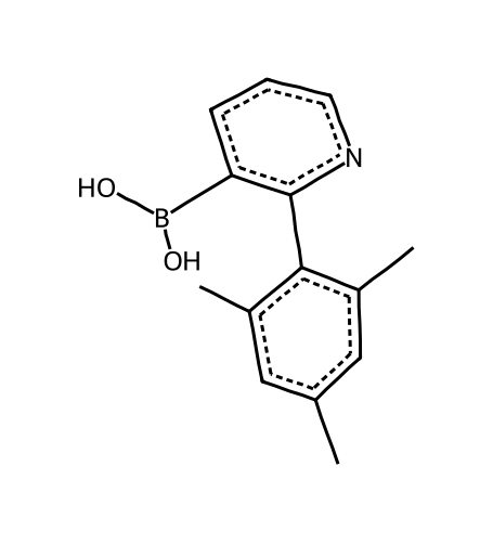 Cc1cc(C)c(-c2ncccc2B(O)O)c(C)c1